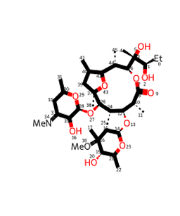 CC[C@@H](O)[C@@](C)(O)[C@@H]1OC(=O)[C@H](C)[C@H](O[C@H]2CC(C)(OC)[C@@H](O)C(C)O2)[C@H](C)[C@@H](O[C@@H]2OC(C)CC(NC)C2O)[C@@]2(C)CC(C)C(O2)[C@@H]1C